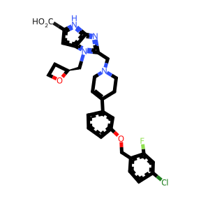 O=C(O)c1cc2c(nc(CN3CC=C(c4cccc(OCc5ccc(Cl)cc5F)c4)CC3)n2C[C@@H]2CCO2)[nH]1